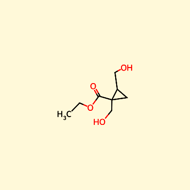 CCOC(=O)C1(CO)CC1CO